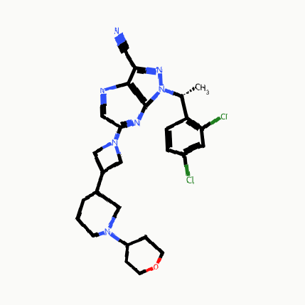 C[C@H](c1ccc(Cl)cc1Cl)n1nc(C#N)c2ncc(N3CC(C4CCCN(C5CCOCC5)C4)C3)nc21